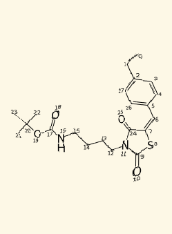 CCc1ccc(C=C2SC(=O)N(CCCCNC(=O)OC(C)(C)C)C2=O)cc1